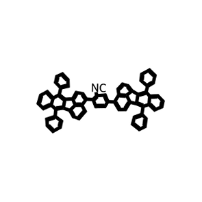 [C-]#[N+]c1cc(-c2ccc3c4c(cccc24)-c2c-3c(-c3ccccc3)c3ccccc3c2-c2ccccc2)ccc1-c1ccc2c3c(cccc13)-c1c-2c(-c2ccccc2)c2ccccc2c1-c1ccccc1